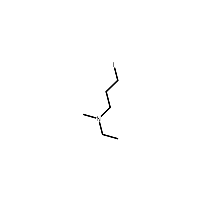 CCN(C)CCCI